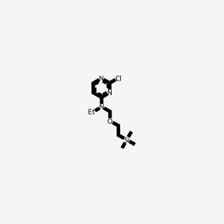 CCN(COCC[Si](C)(C)C)c1ccnc(Cl)n1